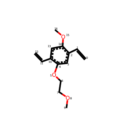 C=Cc1cc(OCCOC)c(C=C)cc1OC